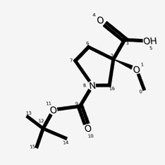 CO[C@]1(C(=O)O)CCN(C(=O)OC(C)(C)C)C1